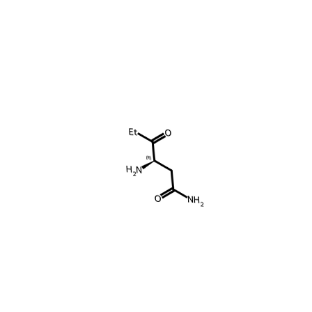 CCC(=O)[C@H](N)CC(N)=O